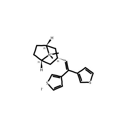 C[N+]1(C)[C@@H]2CC[C@H]1C[C@@H](C=C(c1ccsc1)c1ccsc1)C2.[I-]